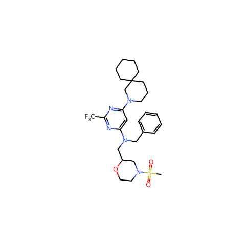 CS(=O)(=O)N1CCOC(CN(Cc2ccccc2)c2cc(N3CCCC4(CCCCC4)C3)nc(C(F)(F)F)n2)C1